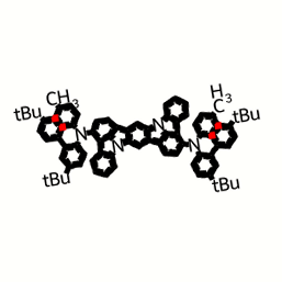 Cc1ccc(N(c2ccc(C(C)(C)C)cc2-c2ccc(C(C)(C)C)cc2)c2ccc3c4cc5c(cc4n4c6ccccc6c2c34)c2ccc(N(c3ccc(C)cc3)c3ccc(C(C)(C)C)cc3-c3ccc(C(C)(C)C)cc3)c3c4ccccc4n5c23)cc1